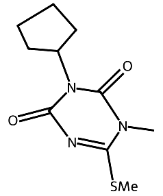 CSc1nc(=O)n(C2CCCC2)c(=O)n1C